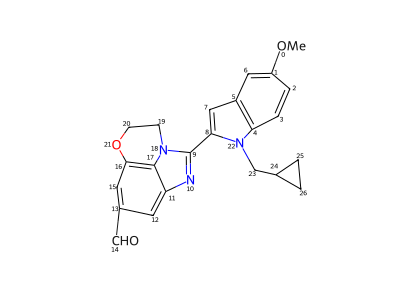 COc1ccc2c(c1)cc(-c1nc3cc(C=O)cc4c3n1CCO4)n2CC1CC1